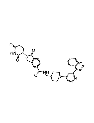 O=C1CCC(N2Cc3cc(C(=O)NCC4CCN(c5ccnc(-c6cccc7ccccc67)c5)CC4)ccc3C2=O)C(=O)N1